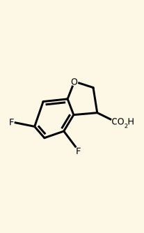 O=C(O)C1COc2cc(F)cc(F)c21